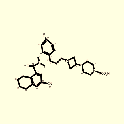 CN(C[C@@H](CCN1CC(N2CCN(C(=O)O)CC2)C1)c1ccc(F)cc1)C(=O)c1cc(C#N)cc2c1CCCC2